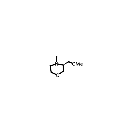 COC[C@H]1COCCN1C